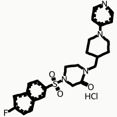 Cl.O=C1CN(S(=O)(=O)c2ccc3cc(F)ccc3c2)CCN1CC1CCN(c2ccncc2)CC1